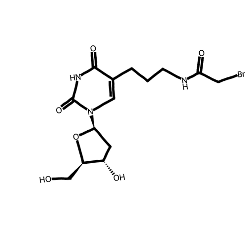 O=C(CBr)NCCCc1cn([C@H]2C[C@H](O)[C@@H](CO)O2)c(=O)[nH]c1=O